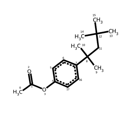 CC(=O)Oc1ccc(C(C)(C)CC(C)(C)C)cc1